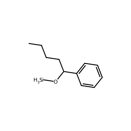 CCCCC(O[SiH3])c1ccccc1